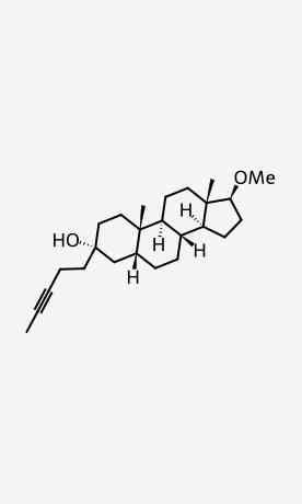 CC#CCC[C@@]1(O)CC[C@@]2(C)[C@H](CC[C@@H]3[C@@H]2CC[C@]2(C)[C@@H](OC)CC[C@@H]32)C1